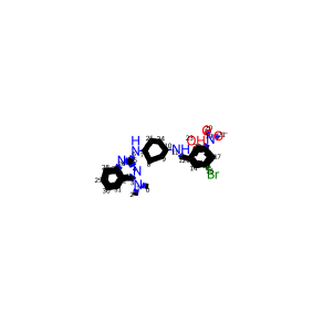 CN(C)c1nc(N[C@H]2CC[C@@H](NCc3cc(Br)cc([N+](=O)[O-])c3O)CC2)nc2ccccc12